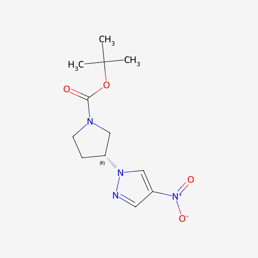 CC(C)(C)OC(=O)N1CC[C@@H](n2cc([N+](=O)[O-])cn2)C1